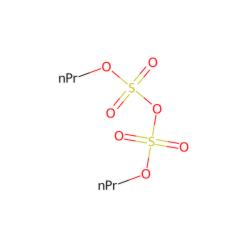 CCCOS(=O)(=O)OS(=O)(=O)OCCC